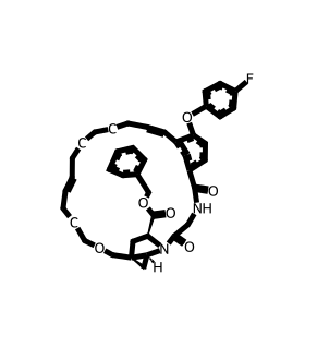 O=C1NCC(=O)N2[C@H]3C[C@@]3(COCCC/C=C/CCCCC/C=C\c3cc1ccc3Oc1ccc(F)cc1)C[C@H]2C(=O)OCc1ccccc1